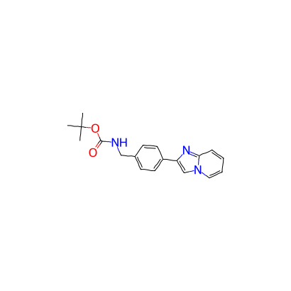 CC(C)(C)OC(=O)NCc1ccc(-c2cn3ccccc3n2)cc1